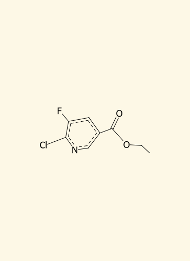 CCOC(=O)c1cnc(Cl)c(F)c1